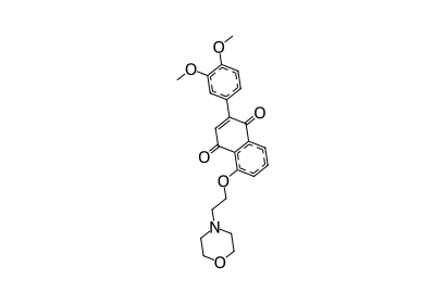 COc1ccc(C2=CC(=O)c3c(OCCN4CCOCC4)cccc3C2=O)cc1OC